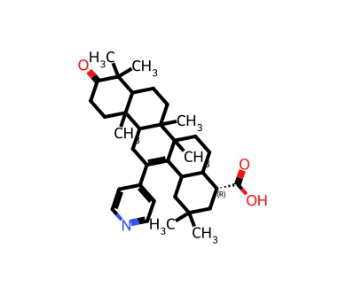 CC1(C)CC2C3=C(c4ccncc4)CC4C5(C)CCC(=O)C(C)(C)C5CCC4(C)C3(C)CCC2[C@H](C(=O)O)C1